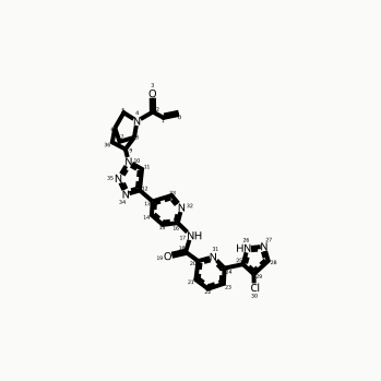 C=CC(=O)N1CC2CC1C(n1cc(-c3ccc(NC(=O)c4cccc(-c5[nH]ncc5Cl)n4)nc3)nn1)C2